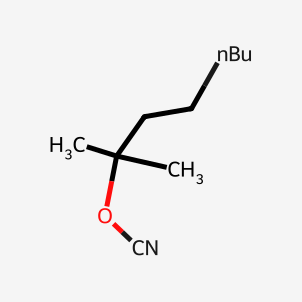 CCCCCCC(C)(C)OC#N